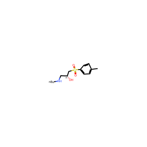 CCCCNC[C@@H](O)CS(=O)(=O)c1ccc(C)cc1